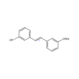 C[CH]Cc1cccc(/C=C/c2cccc(OC)c2)c1